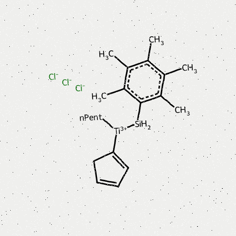 CCCC[CH2][Ti+3]([SiH2]c1c(C)c(C)c(C)c(C)c1C)[C]1=CC=CC1.[Cl-].[Cl-].[Cl-]